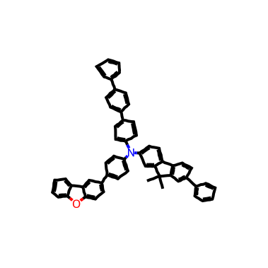 CC1(C)c2cc(-c3ccccc3)ccc2-c2ccc(N(c3ccc(-c4ccc(-c5ccccc5)cc4)cc3)c3ccc(-c4ccc5oc6ccccc6c5c4)cc3)cc21